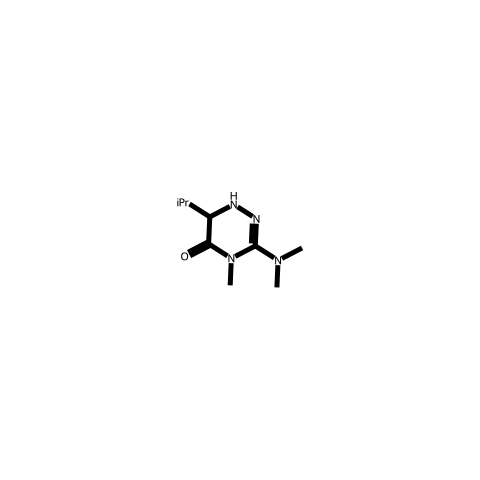 CC(C)C1NN=C(N(C)C)N(C)C1=O